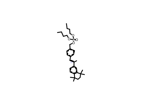 CCCCOP(=O)(OCCCC)OCc1ccc(/C=C(\C)c2ccc3c(c2)C(C)(C)CCC3(C)C)cc1